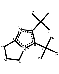 CC(C)(C)c1nc2n(c1C(C)(C)C)CCC2